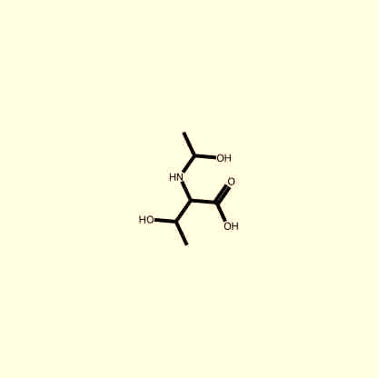 CC(O)NC(C(=O)O)C(C)O